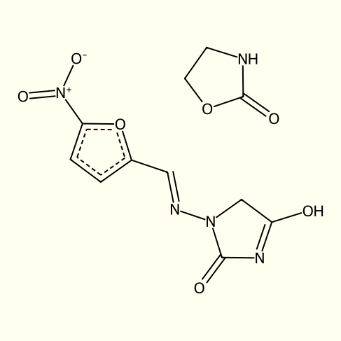 O=C1N=C(O)CN1/N=C/c1ccc([N+](=O)[O-])o1.O=C1NCCO1